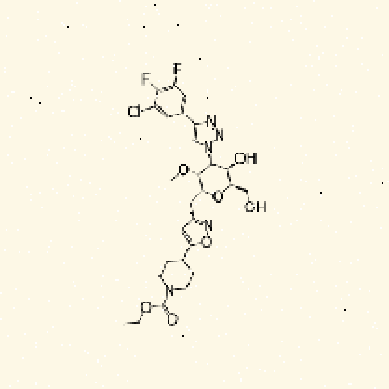 CCOC(=O)N1CCC(c2cc(C[C@H]3O[C@H](CO)[C@H](O)[C@H](n4cc(-c5cc(F)c(F)c(Cl)c5)nn4)[C@H]3OC)no2)CC1